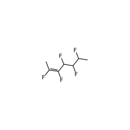 C/C(F)=C(/F)C(F)C(F)C(C)F